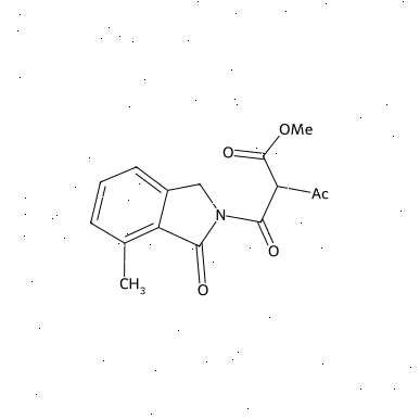 COC(=O)C(C(C)=O)C(=O)N1Cc2cccc(C)c2C1=O